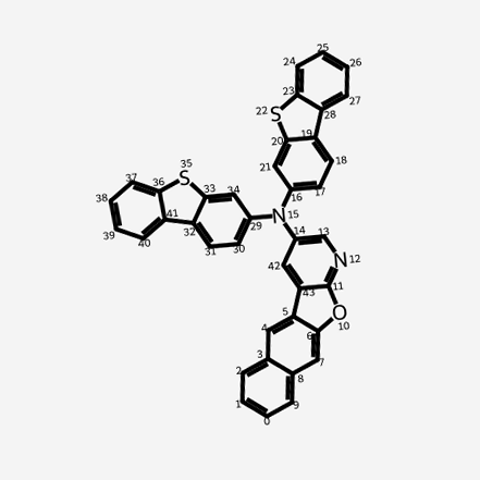 c1ccc2cc3c(cc2c1)oc1ncc(N(c2ccc4c(c2)sc2ccccc24)c2ccc4c(c2)sc2ccccc24)cc13